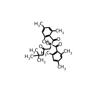 Cc1cc(C)c(C(=O)P(=O)(CC(=O)CC(C)(C)C)C(=O)c2c(C)cc(C)cc2C)c(C)c1